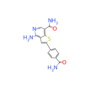 NC(=O)c1ccc(-c2cc3c(N)ncc(C(N)=O)c3s2)cc1